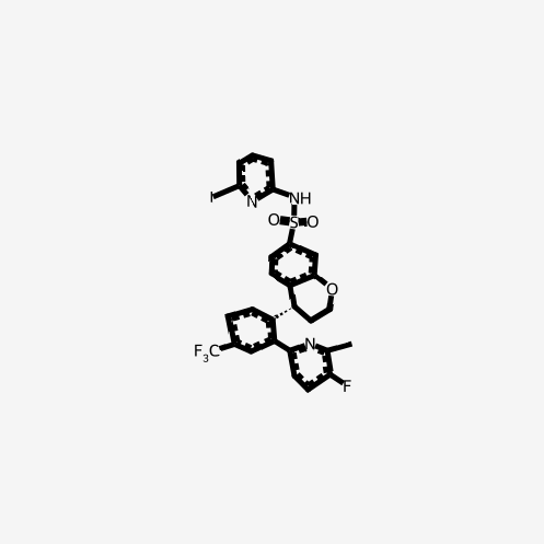 Cc1nc(-c2cc(C(F)(F)F)ccc2[C@H]2CCOc3cc(S(=O)(=O)Nc4cccc(I)n4)ccc32)ccc1F